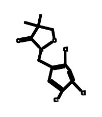 CC1(C)CON(Cc2cc(Cl)c(Cl)cc2Cl)C1=O